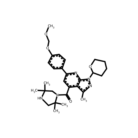 COCOc1ccc(-c2cc(C(=O)N3CC(C)(C)NCC3(C)C)c3c(C)nn(C4CCCCO4)c3n2)cc1